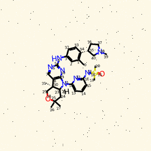 Cc1cc(Nc2ncc3c(n2)N(c2cccc(N=S(C)(C)=O)n2)[C@H]2CC(C)(C)OC[C@@]32C)ccc1[C@@H]1CCN(C)C1